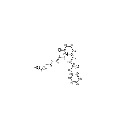 O=C(O)CCCC=CCN1C(=O)CCCC1C=CC(=O)Cc1ccccc1